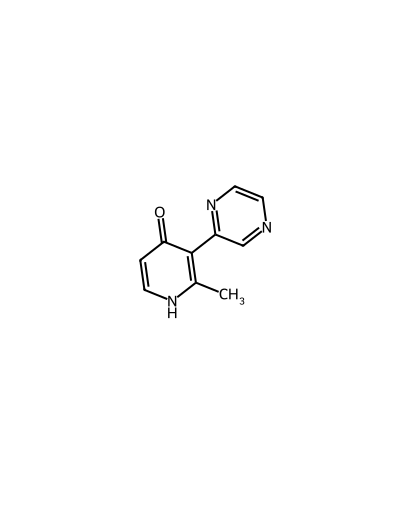 Cc1[nH]ccc(=O)c1-c1cnccn1